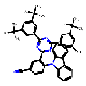 Cc1cc(-c2nc(-c3cc(C(C)(C)C)cc(C(C)(C)C)c3)nc(-c3cc(C#N)ccc3-n3c4ccccc4c4ccccc43)n2)cc(C(C)(C)C)c1